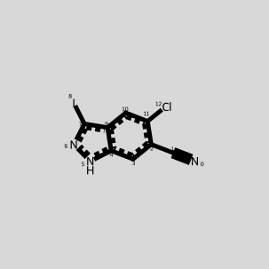 N#Cc1cc2[nH]nc(I)c2cc1Cl